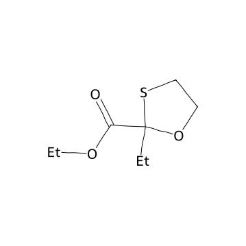 CCOC(=O)C1(CC)OCCS1